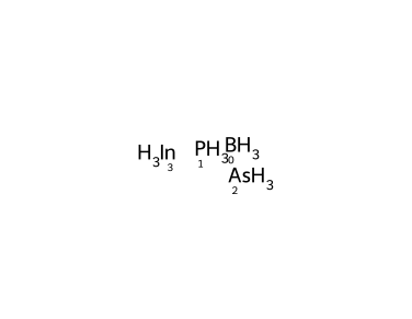 B.P.[AsH3].[InH3]